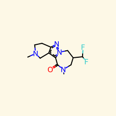 CN1CCc2nn3c(c2C1)C(=O)N(C)CC(C(F)F)C3